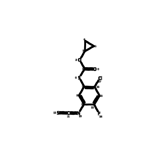 O=C(OC1CC1)Sc1cc(N=C=S)c(F)cc1Cl